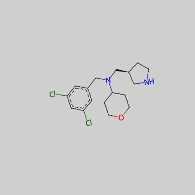 Clc1cc(Cl)cc(CN(C[C@H]2CCNC2)C2CCOCC2)c1